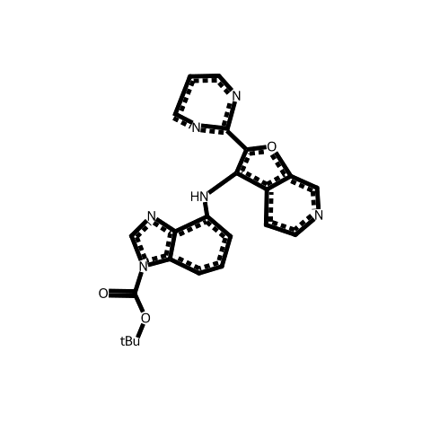 CC(C)(C)OC(=O)n1cnc2c(Nc3c(-c4ncccn4)oc4cnccc34)cccc21